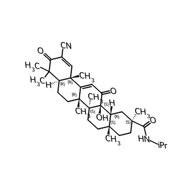 CC(C)NC(=O)[C@@]1(C)CC[C@]2(C)CC[C@@]3(C)[C@]4(C)CC[C@H]5C(C)(C)C(=O)C(C#N)=C[C@]5(C)C4=CC(=O)[C@]3(O)[C@@H]2C1